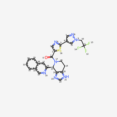 O=C(c1cnc(-c2cnn(CC(F)(F)F)c2)s1)N1CCc2[nH]cnc2[C@H]1c1cc2ccccc2cn1